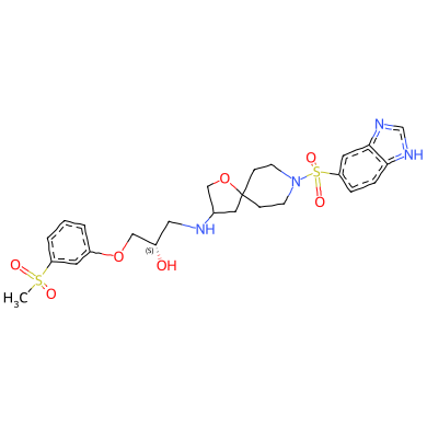 CS(=O)(=O)c1cccc(OC[C@@H](O)CNC2COC3(CCN(S(=O)(=O)c4ccc5[nH]cnc5c4)CC3)C2)c1